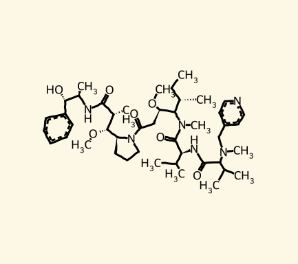 CC[C@H](C)C([C@@H](CC(=O)N1CCC[C@H]1[C@H](OC)[C@@H](C)C(=O)N[C@H](C)[C@@H](O)c1ccccc1)OC)N(C)C(=O)[C@@H](NC(=O)C(C(C)C)N(C)Cc1ccncc1)C(C)C